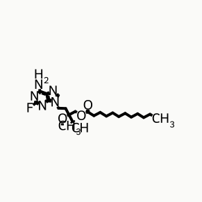 C#CC(CCn1cnc2c(N)nc(F)nc21)(COC(=O)CCCCCCCCCCC)OC